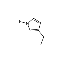 CCc1ccn(I)c1